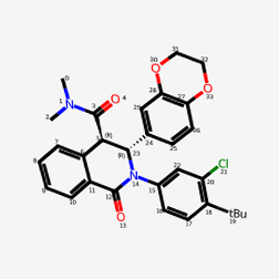 CN(C)C(=O)[C@@H]1c2ccccc2C(=O)N(c2ccc(C(C)(C)C)c(Cl)c2)[C@H]1c1ccc2c(c1)OCCO2